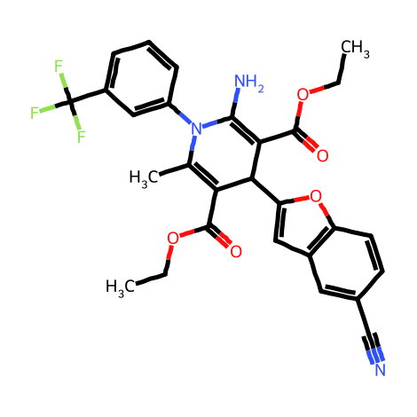 CCOC(=O)C1=C(C)N(c2cccc(C(F)(F)F)c2)C(N)=C(C(=O)OCC)C1c1cc2cc(C#N)ccc2o1